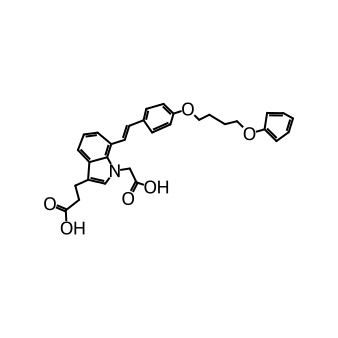 O=C(O)CCc1cn(CC(=O)O)c2c(C=Cc3ccc(OCCCCOc4ccccc4)cc3)cccc12